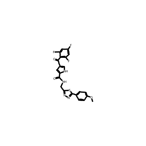 COc1ccc(-c2nnc(CNC(=O)c3cc(C(=O)c4c(F)cc(F)cc4F)c[nH]3)s2)cc1